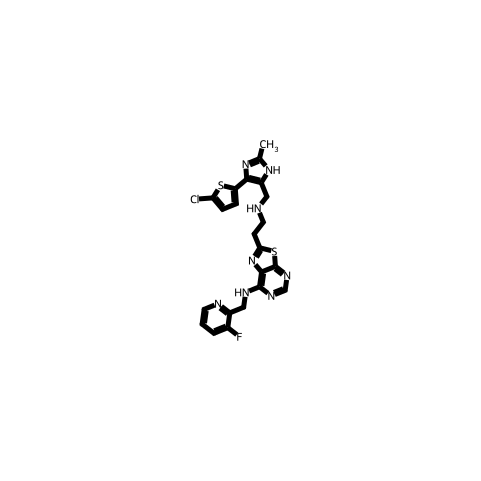 Cc1nc(-c2ccc(Cl)s2)c(CNCCc2nc3c(NCc4ncccc4F)ncnc3s2)[nH]1